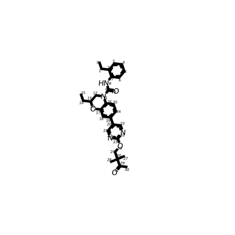 CCc1ccccc1NC(=O)N1CC(CC)Oc2cc(-c3cnc(OCC(C)(C)C(C)=O)nc3)ccc21